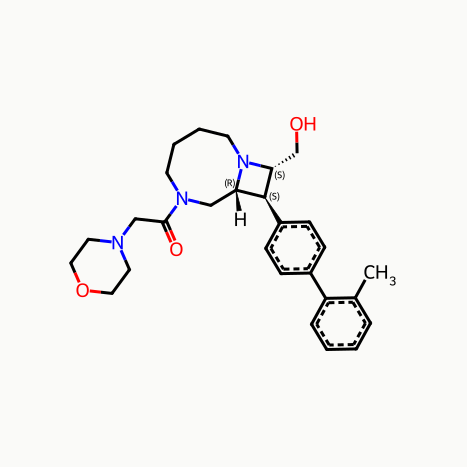 Cc1ccccc1-c1ccc([C@@H]2[C@@H](CO)N3CCCCN(C(=O)CN4CCOCC4)C[C@@H]23)cc1